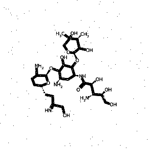 C[C@@H]1C(O)[C@@H](OC2C(O)C(O[C@H]3O[C@H](CCC(=N)CO)CCC3N)[C@@H](N)C[C@H]2NC(=O)[C@@H](O)[C@@H](N)[C@@H](O)CO)OCC1(C)O